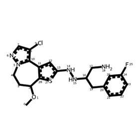 COC1CCn2ncc(Cl)c2-c2cc(NNC(CN)Cc3cccc(F)c3)sc21